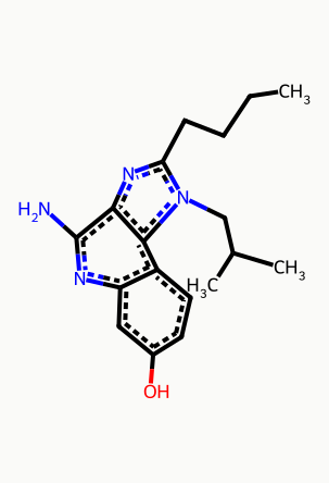 CCCCc1nc2c(N)nc3cc(O)ccc3c2n1CC(C)C